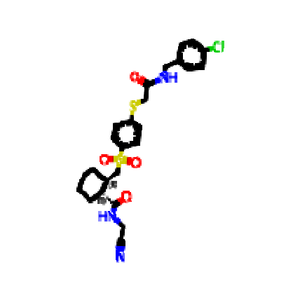 N#CCNC(=O)[C@@H]1CCCC[C@H]1CS(=O)(=O)c1ccc(SCC(=O)NCc2ccc(Cl)cc2)cc1